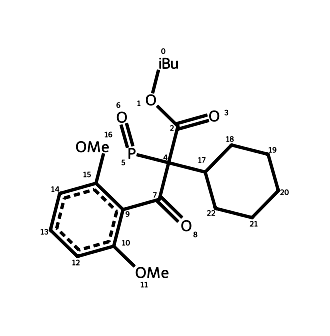 CCC(C)OC(=O)C(P=O)(C(=O)c1c(OC)cccc1OC)C1CCCCC1